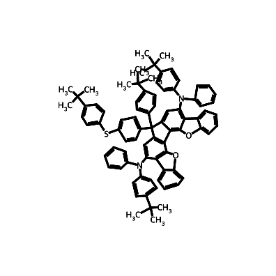 CC(C)(C)c1ccc(Sc2ccc(C3(c4ccc(C(C)(C)C)cc4)c4cc(N(c5ccccc5)c5ccc(C(C)(C)C)cc5)c5c(oc6ccccc65)c4-c4c3cc(N(c3ccccc3)c3ccc(C(C)(C)C)cc3)c3c4oc4ccccc43)cc2)cc1